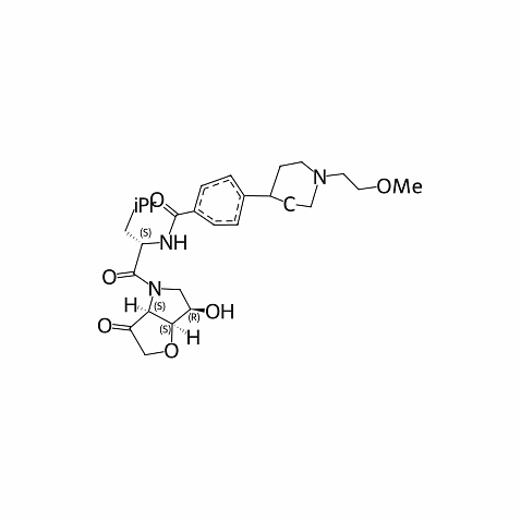 COCCN1CCC(c2ccc(C(=O)N[C@@H](CC(C)C)C(=O)N3C[C@@H](O)[C@H]4OCC(=O)[C@H]43)cc2)CC1